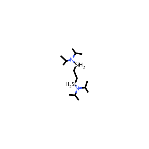 CC(C)N([SiH2]CC[SiH2]N(C(C)C)C(C)C)C(C)C